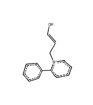 OC=CC[n+]1ccccc1-c1ccccc1